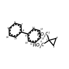 O=C(O)C1(C(=O)O)CC1.c1ccc(-c2ccccc2)cc1